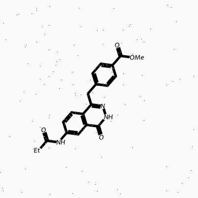 CCC(=O)Nc1ccc2c(Cc3ccc(C(=O)OC)cc3)n[nH]c(=O)c2c1